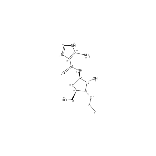 CCO[C@H]1[C@@H](O)[C@H](NC(=O)c2nc[nH]c2N)O[C@@H]1CO